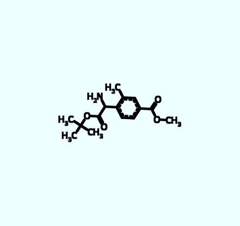 COC(=O)c1ccc(C(N)C(=O)OC(C)(C)C)c(C)c1